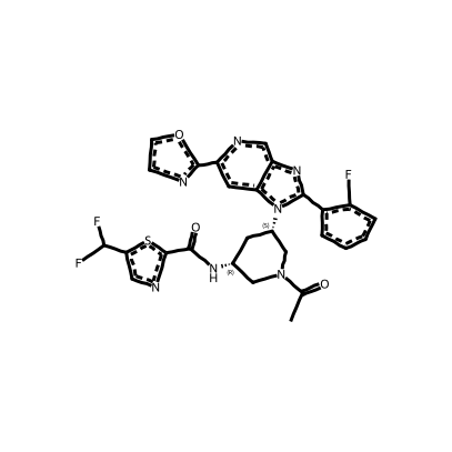 CC(=O)N1C[C@H](NC(=O)c2ncc(C(F)F)s2)C[C@H](n2c(-c3ccccc3F)nc3cnc(-c4ncco4)cc32)C1